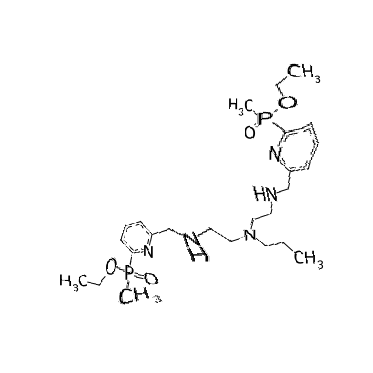 CCCN(CCNCc1cccc(P(C)(=O)OCC)n1)CCNCc1cccc(P(C)(=O)OCC)n1